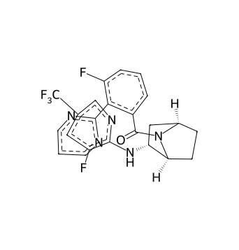 O=C(c1cccc(F)c1-c1ncccn1)N1[C@@H]2CC[C@H]1[C@H](Nc1ncc(C(F)(F)F)cc1F)C2